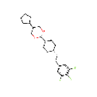 Fc1cc(CC[C@H]2CC[C@H]([C@H]3OC[C@H](C4CCCC4)CO3)CC2)cc(F)c1F